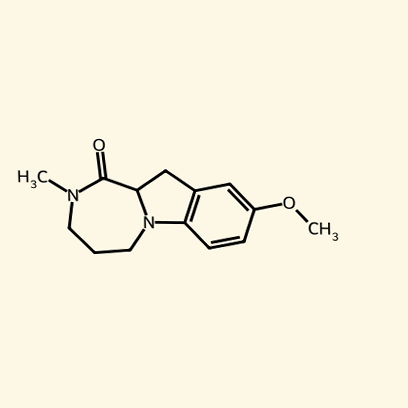 COc1ccc2c(c1)CC1C(=O)N(C)CCCN21